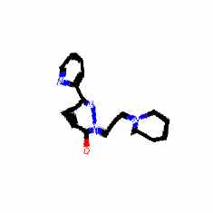 O=c1ccc(-c2ccccn2)nn1CCN1CCCCC1